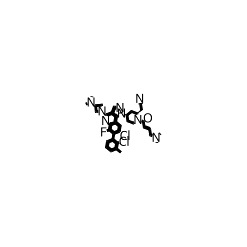 Cc1cccc(-c2c(Cl)cc3c(nc(N4CC(N(C)C)C4)c4cnn([C@H]5CCN(C(=O)/C=C/CN(C)C)[C@H](CC#N)C5)c43)c2F)c1Cl